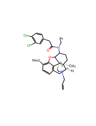 C=CCN1CC[C@]23c4c5ccc(OC)c4OC2C(N(CC(C)C)C(=O)Cc2ccc(Cl)c(Cl)c2)CC[C@@]3(OC(C)=O)[C@H]1C5